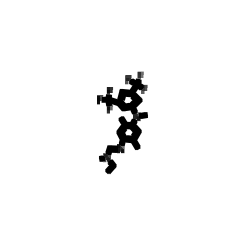 CCN(C)C=Nc1cc(C)c(N(C)c2cc(C(F)(F)F)cc(C(F)(F)F)c2)cc1C